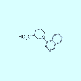 O=C(O)C1CCCN(c2cncc3ccccc23)C1